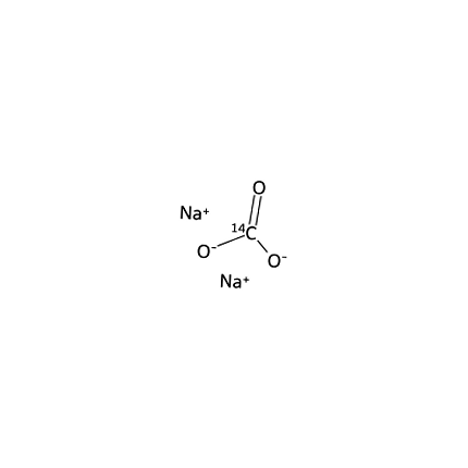 O=[14C]([O-])[O-].[Na+].[Na+]